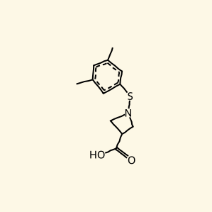 Cc1cc(C)cc(SN2CC(C(=O)O)C2)c1